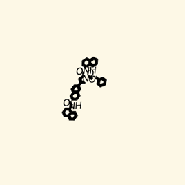 O=C(NC1CCCc2ccccc21)[C@H]1CCc2cc(C3=C[C@@H](C(=O)NC4CCCc5ccccc54)N(C(=O)OCc4ccccc4)C3)ccc2C1